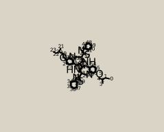 CCC(C)COc1ccc(C2=c3c(c(-c4ccc(OCC(C)CC)cc4)[nH]/c3=C(/C#N)c3nc4ccccc4s3)C(C(C#N)c3nc4ccccc4s3)N2)cc1